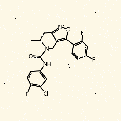 CC1Cc2noc(-c3ccc(F)cc3F)c2CN1C(=O)Nc1ccc(F)c(Cl)c1